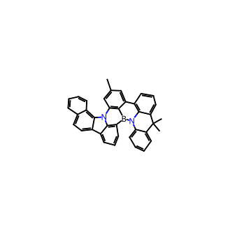 Cc1cc2c3c(c1)-n1c4c(cccc4c4ccc5ccccc5c41)B3N1c3ccccc3C(C)(C)c3cccc-2c31